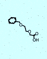 O=C(O)COCCOCc1ccccc1